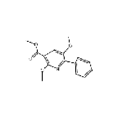 COC(=O)c1cc(OC)c(-c2ccccc2)nc1OC